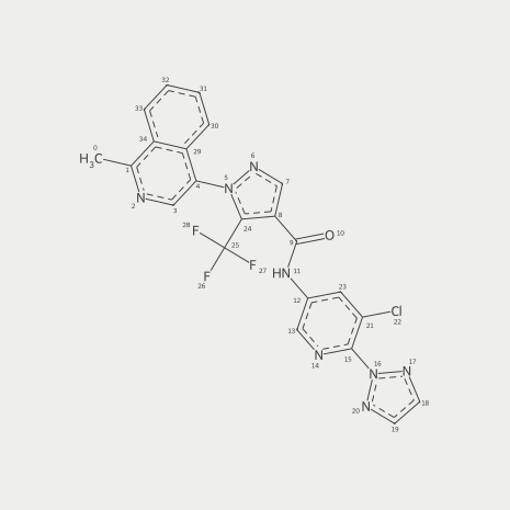 Cc1ncc(-n2ncc(C(=O)Nc3cnc(-n4nccn4)c(Cl)c3)c2C(F)(F)F)c2ccccc12